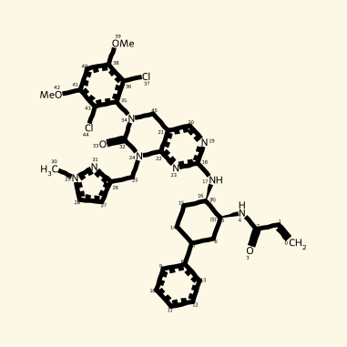 C=CC(=O)N[C@H]1CC(c2ccccc2)CC[C@H]1Nc1ncc2c(n1)N(Cc1ccn(C)n1)C(=O)N(c1c(Cl)c(OC)cc(OC)c1Cl)C2